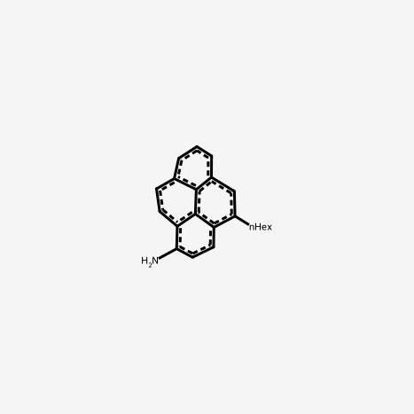 CCCCCCc1cc2cccc3ccc4c(N)ccc1c4c32